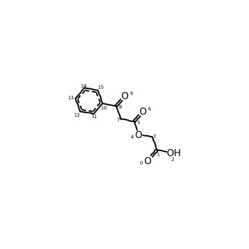 O=C(O)COC(=O)CC(=O)c1ccccc1